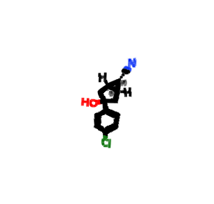 N#C[C@@H]1[C@H]2CC(O)(c3ccc(Cl)cc3)C[C@@H]12